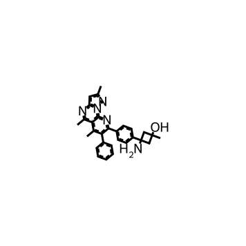 Cc1cc2nc(C)c3c(C)c(-c4ccccc4)c(-c4ccc(C5(N)CC(C)(O)C5)cc4)nc3n2n1